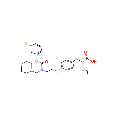 CCOC(Cc1ccc(OCCN(CC2CCCCC2)C(=O)Oc2cccc(F)c2)cc1)C(=O)O